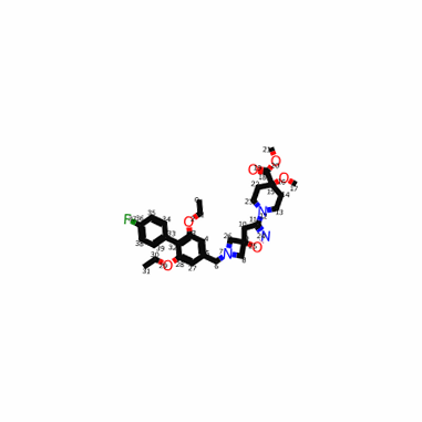 CCOc1cc(CN2CC3(CC(N4CCC(OC)(C(=O)OC)CC4)=NO3)C2)cc(OCC)c1-c1ccc(F)cc1